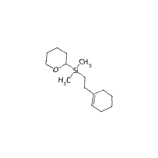 C[Si](C)(CCC1=CCCCC1)C1CCCCO1